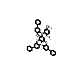 Cc1ccc(C)c(N(c2cc3c4c(c2)Oc2cc(-c5ccccc5)ccc2B4c2ccc(-c4ccccc4)cc2O3)c2cc(-c3ccccc3)ccc2C)c1